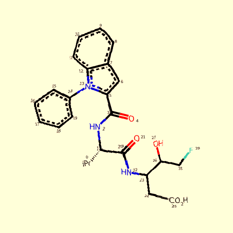 CC(C)[C@H](NC(=O)c1cc2ccccc2n1-c1ccccc1)C(=O)NC(CC(=O)O)C(O)CF